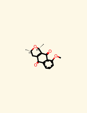 COc1cccc2c1C(=O)C1=C(C[C@H](C)O[C@@H]1C)C2=O